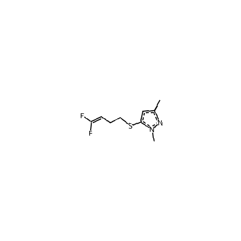 Cc1cc(SCCC=C(F)F)n(C)n1